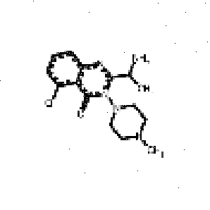 CC(N)c1nc2cccc(Cl)c2c(=O)n1N1CCN(C)CC1